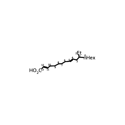 CCCCCCC(CC)CC=CCCCCCC=CC(=O)O